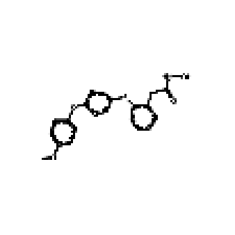 COc1ccc(Oc2ccc(Sc3ccccc3CC(=O)NO)cc2)cc1